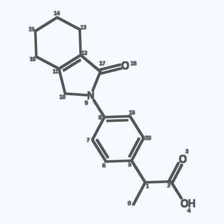 CC(C(=O)O)c1ccc(N2CC3=C(CCCC3)C2=O)cc1